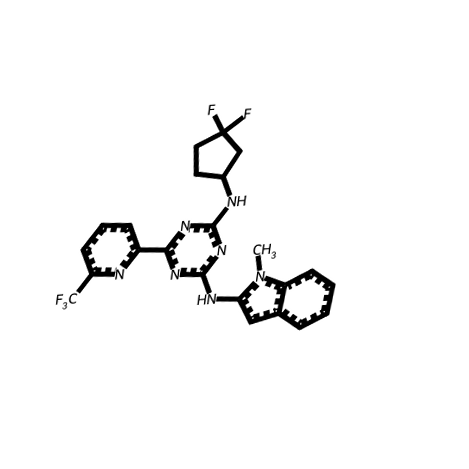 Cn1c(Nc2nc(NC3CCC(F)(F)C3)nc(-c3cccc(C(F)(F)F)n3)n2)cc2ccccc21